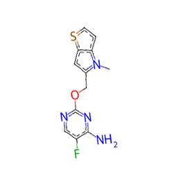 Cn1c(COc2ncc(F)c(N)n2)cc2sccc21